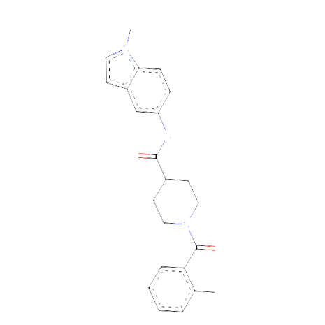 CC(C)n1ccc2cc(NC(=O)C3CCN(C(=O)c4ccccc4C(F)(F)F)CC3)ccc21